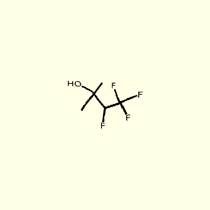 CC(C)(O)C(F)C(F)(F)F